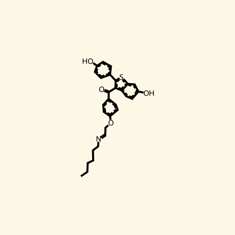 CCCCCCN=CCOc1ccc(C(=O)c2c(-c3ccc(O)cc3)sc3cc(O)ccc23)cc1